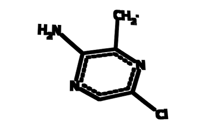 [CH2]c1nc(Cl)cnc1N